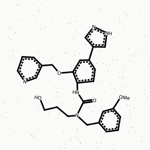 COc1cccc(CN(CCCO)C(=O)Nc2ccc(-c3cn[nH]c3)cc2OCc2cccnc2)c1